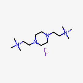 C[N+](C)(C)CCN1CCN(CC[N+](C)(C)C)CC1.[I-].[I-]